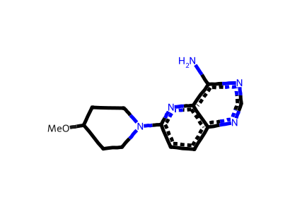 COC1CCN(c2ccc3ncnc(N)c3n2)CC1